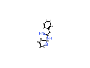 N=C(Cc1ccccc1)Nc1ccccn1